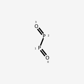 O=PP=O